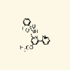 COc1cc(CNS(=O)(=O)c2ccccc2F)nc(-c2ccccn2)c1